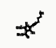 CCc1c(C#CCCCO)[nH]c(C=O)c1C(=O)OC